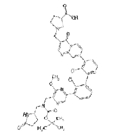 COc1nc(-c2cccc(-c3cccc(-c4ccn5c(=O)c(CN6CCC(C(=O)O)C6)cnc5c4)c3Cl)c2Cl)cnc1CN(CC1CCC(=O)N1)C(=O)OC(C)(C)C